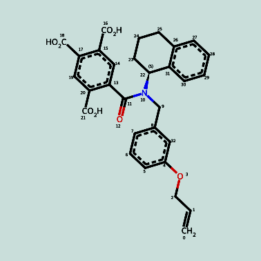 C=CCOc1cccc(CN(C(=O)c2cc(C(=O)O)c(C(=O)O)cc2C(=O)O)[C@H]2CCCc3ccccc32)c1